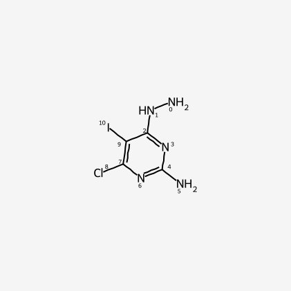 NNc1nc(N)nc(Cl)c1I